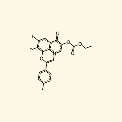 CCOC(=O)Oc1cn2c3c(c(F)c(F)cc3c1=O)OC(c1ccc(C)cc1)=C2